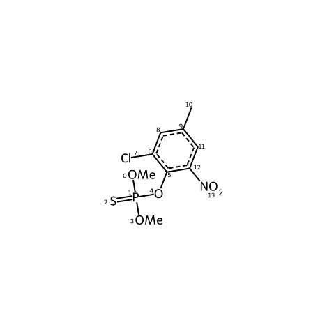 COP(=S)(OC)Oc1c(Cl)cc(C)cc1[N+](=O)[O-]